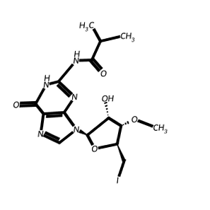 CO[C@H]1[C@@H](O)[C@H](n2cnc3c(=O)[nH]c(NC(=O)C(C)C)nc32)O[C@@H]1CI